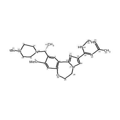 COc1cc2c(cc1[C@@H](C)N1CCN(C(C)(C)C)CC1)-c1nc(/C(=N/C(C)=N)NC(C)C)cn1CCO2